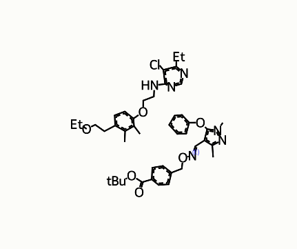 CCOCCc1ccc(OCCNc2ncnc(CC)c2Cl)c(C)c1C.Cc1nn(C)c(Oc2ccccc2)c1/C=N/OCc1ccc(C(=O)OC(C)(C)C)cc1